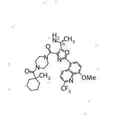 COc1ccc(-c2nc(C(=O)N3CCN(C(=O)C4(C)CCCCC4)CC3)c([C@H](C)N)o2)c2ccc(C(F)(F)F)nc12